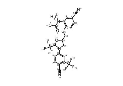 CN(C(=O)O)c1cc(C#N)ccc1OCC1CN(c2ccc(C#N)c(C(F)(F)F)c2)C(C(F)(F)F)O1